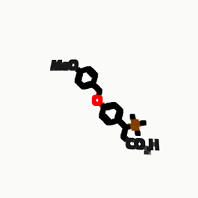 COc1ccc(COc2ccc(C(CC(=O)O)S(C)(C)C)cc2)cc1